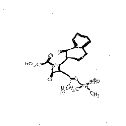 C[C@@H](O[Si](C)(C)C(C)(C)C)[C@H]1C(=O)N(C(=O)C(=O)O)[C@@H]1[C@@H]1CCc2ccccc2C1=O